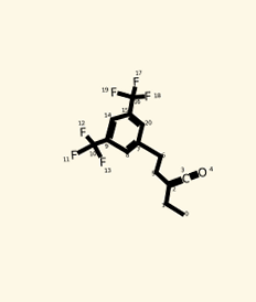 CCC(=C=O)CCc1cc(C(F)(F)F)cc(C(F)(F)F)c1